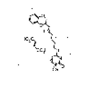 Cn1ncc(OCCCCNC[C@@H]2COc3ccccc3O2)nc1=O.O=C(O)C=CC(=O)O